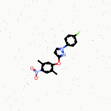 Cc1cc([N+](=O)[O-])c(C)cc1Oc1ccn(-c2ccc(F)cc2)n1